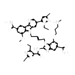 CCc1nc(C)oc1C(=O)Nc1nc2cc(C(N)=O)cc(OCCCNC)c2n1C/C=C/Cn1c2cc(-c3cc(C)nn3CC)cnc2c2cc(C(N)=O)cc(OC)c21